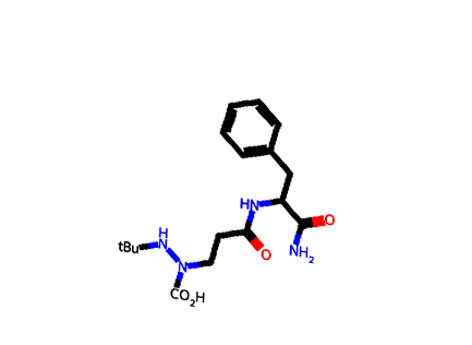 CC(C)(C)NN(CCC(=O)NC(Cc1ccccc1)C(N)=O)C(=O)O